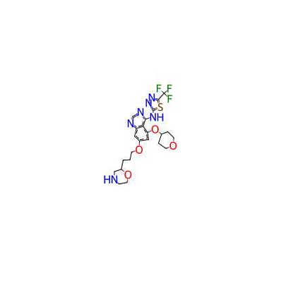 FC(F)(F)c1nnc(Nc2ncnc3cc(OCCCC4CNCCO4)cc(OC4CCOCC4)c23)s1